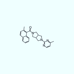 Cc1ccnc(N2CC3CN(C(=O)c4c(C)ccc5ccccc45)CC3C2)n1